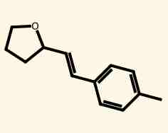 Cc1ccc(C=CC2CCCO2)cc1